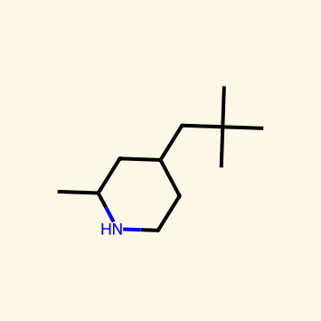 CC1CC(CC(C)(C)C)CCN1